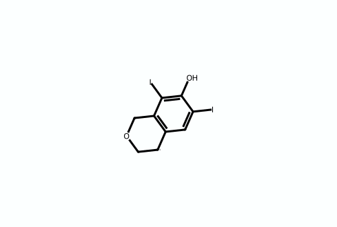 Oc1c(I)cc2c(c1I)COC[CH]2